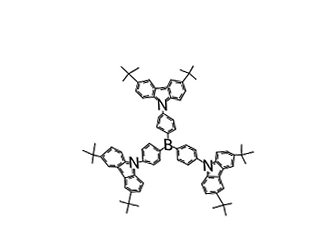 CC(C)(C)c1ccc2c(c1)c1cc(C(C)(C)C)ccc1n2-c1ccc(B(c2ccc(-n3c4ccc(C(C)(C)C)cc4c4cc(C(C)(C)C)ccc43)cc2)c2ccc(-n3c4ccc(C(C)(C)C)cc4c4cc(C(C)(C)C)ccc43)cc2)cc1